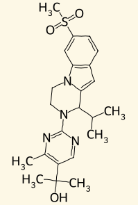 Cc1nc(N2CCn3c(cc4ccc(S(C)(=O)=O)cc43)C2C(C)C)ncc1C(C)(C)O